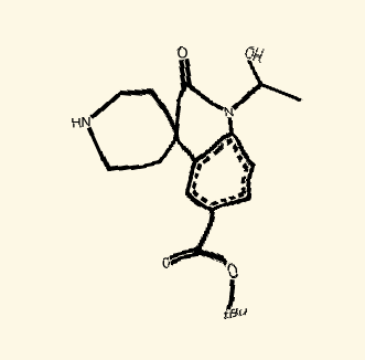 CC(O)N1C(=O)C2(CCNCC2)c2cc(C(=O)OC(C)(C)C)ccc21